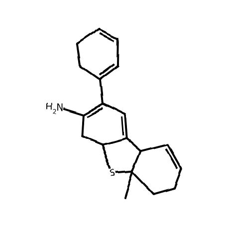 CC12CCC=CC1C1=CC(C3=CC=CCC3)=C(N)CC1S2